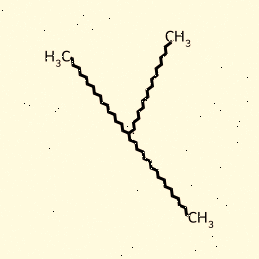 CCCCCCCCCCCCCCCCCC[C](CCCCCCCCCCCCCCCCC)CCCCCCCCCCCCCCCCCC